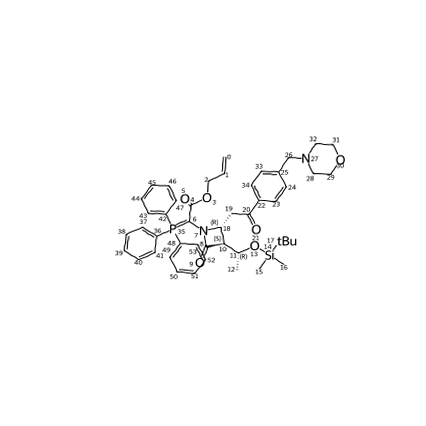 C=CCOC(=O)C(N1C(=O)[C@H]([C@@H](C)O[Si](C)(C)C(C)(C)C)[C@H]1CC(=O)c1ccc(CN2CCOCC2)cc1)=P(c1ccccc1)(c1ccccc1)c1ccccc1